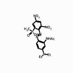 CCN(CC)c1ccc(N=Nc2c([N+](=O)[O-])cc([N+](=O)[O-])cc2P(C)(=O)OC)c(NC(C)=O)c1